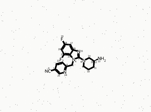 N#Cc1ccc(Cn2c(N3CCC[C@H](N)C3)nc3cc(F)cc(F)c32)nc1